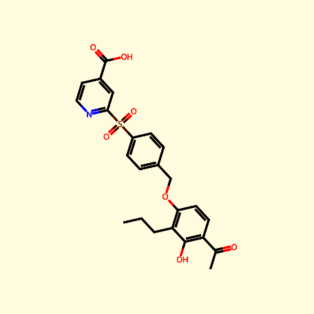 CCCc1c(OCc2ccc(S(=O)(=O)c3cc(C(=O)O)ccn3)cc2)ccc(C(C)=O)c1O